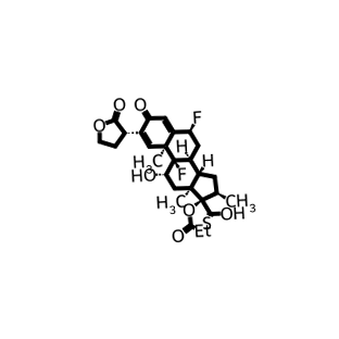 CCC(=O)O[C@]1(C(O)=S)[C@H](C)C[C@H]2[C@@H]3C[C@H](F)C4=CC(=O)C([C@@H]5CCOC5=O)=C[C@]4(C)[C@@]3(F)[C@@H](O)C[C@@]21C